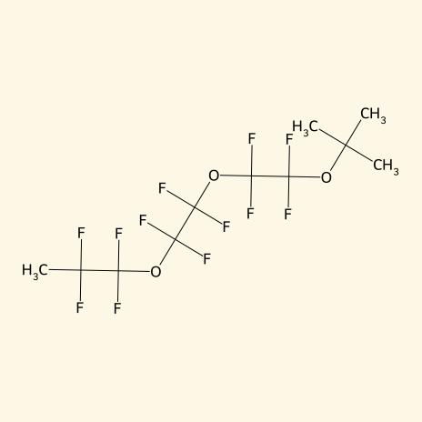 CC(C)(C)OC(F)(F)C(F)(F)OC(F)(F)C(F)(F)OC(F)(F)C(C)(F)F